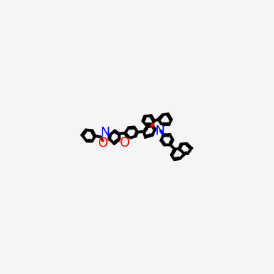 c1ccc(-c2nc3cc4c(cc3o2)oc2cc(-c3ccc(N(c5ccc(-c6cccc7ccccc67)cc5)c5ccccc5-c5ccccc5)cc3)ccc24)cc1